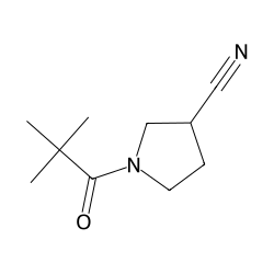 CC(C)(C)C(=O)N1CCC(C#N)C1